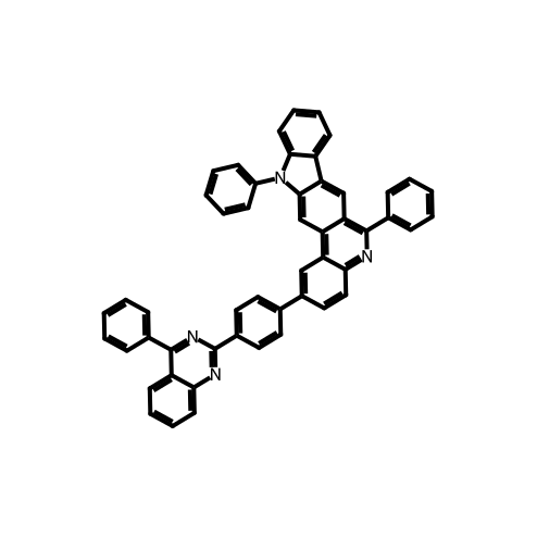 c1ccc(-c2nc(-c3ccc(-c4ccc5nc(-c6ccccc6)c6cc7c8ccccc8n(-c8ccccc8)c7cc6c5c4)cc3)nc3ccccc23)cc1